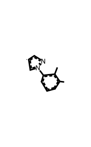 Cc1cccc(-n2c[c]cn2)c1C